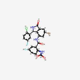 O=C1NC(c2cc(F)ccc2Cl)c2c(NC(=O)c3cc(F)cc4oc(=O)[nH]c34)cc(Br)cc21